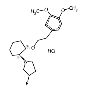 COc1ccc(CCO[C@H]2CCCC[C@@H]2N2CCC(F)C2)cc1OC.Cl